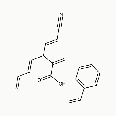 C=CC=CC(C=CC#N)C(=C)C(=O)O.C=Cc1ccccc1